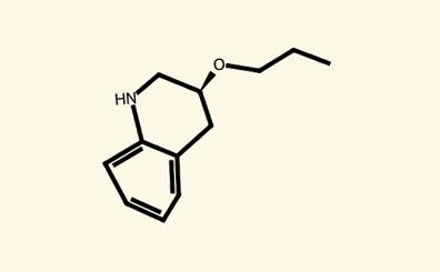 CCCO[C@@H]1CNc2ccccc2C1